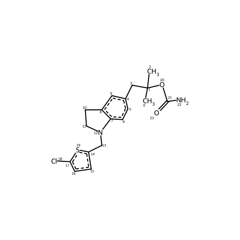 CC(C)(Cc1ccc2c(c1)CCN2Cc1ccc(Cl)s1)OC(N)=O